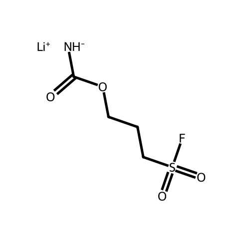 [Li+].[NH-]C(=O)OCCCS(=O)(=O)F